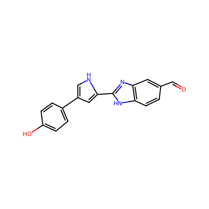 O=Cc1ccc2[nH]c(-c3cc(-c4ccc(O)cc4)c[nH]3)nc2c1